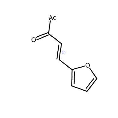 CC(=O)C(=O)/C=C/c1ccco1